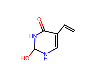 C=CC1=CNC(O)NC1=O